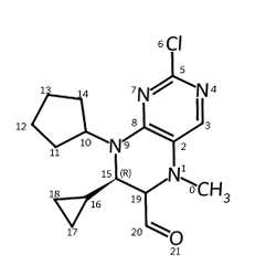 CN1c2cnc(Cl)nc2N(C2CCCC2)[C@H](C2CC2)C1C=O